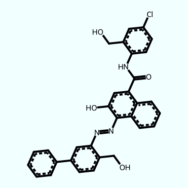 O=C(Nc1ccc(Cl)cc1CO)c1cc(O)c(/N=N/c2cc(-c3ccccc3)ccc2CO)c2ccccc12